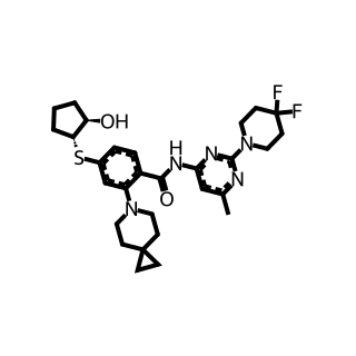 Cc1cc(NC(=O)c2ccc(S[C@@H]3CCC[C@H]3O)cc2N2CCC3(CC2)CC3)nc(N2CCC(F)(F)CC2)n1